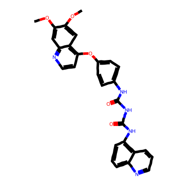 COc1cc2nccc(Oc3ccc(NC(=O)NC(=O)Nc4cccc5ncccc45)cc3)c2cc1OC